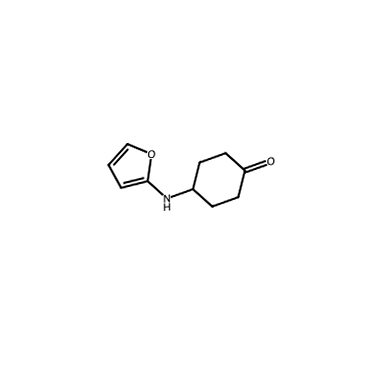 O=C1CCC(Nc2ccco2)CC1